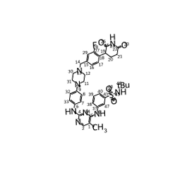 Cc1cnc(Nc2ccc(N3CCN(Cc4ccc(C5CCC(=O)NC5=O)c(F)c4)CC3)cc2)nc1Nc1cccc(S(=O)(=O)NC(C)(C)C)c1